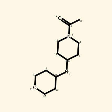 CC(=O)N1CCC([N]C2CCOCC2)CC1